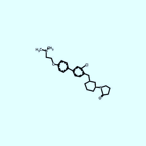 CN(C)CCOc1ccc(-c2ccc(CC3CCCC(N4CCCC4=O)C3)c(Cl)c2)cc1